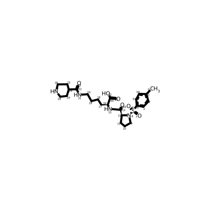 Cc1ccc(S(=O)(=O)N2CCC[C@H]2C(=O)N[C@@H](CCCCNC(=O)C2CCNCC2)C(=O)O)cc1